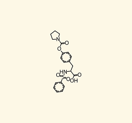 O=C(O)C(Cc1ccc(OC(=O)N2CCCC2)cc1)NS(=O)(=O)c1ccccc1